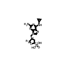 Nc1nc(NC2CC2)c2ncn(C[C@H]3C[C@H](P(=O)(O)O)O[C@@H]3F)c2n1